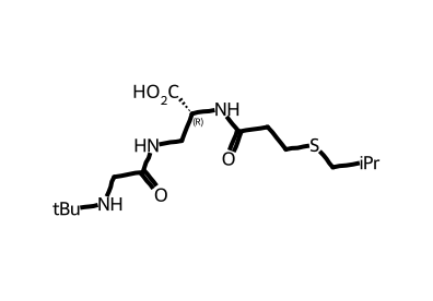 CC(C)CSCCC(=O)N[C@H](CNC(=O)CNC(C)(C)C)C(=O)O